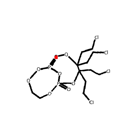 O=P12OOCCOP(=O)(OC(CCCl)(CCCl)C(CCCl)(CCCl)OO1)O2